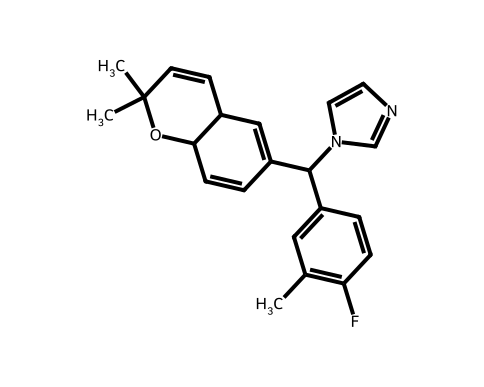 Cc1cc(C(C2=CC3C=CC(C)(C)OC3C=C2)n2ccnc2)ccc1F